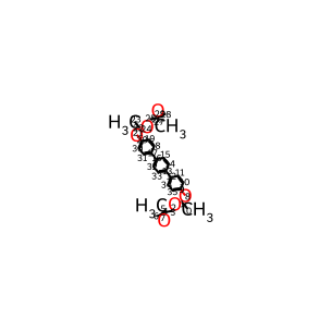 CC(OCC1(C)CO1)Oc1ccc(-c2ccc(-c3ccc(OC(C)OCC4(C)CO4)cc3)cc2)cc1